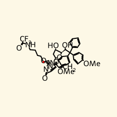 C=CC(=O)[N+]1(CCCCCCNC(=O)C(F)(F)F)c2cn([C@H]3C[C@H](O)[C@@H](C(O)C(c4ccccc4)(c4ccc(OC)cc4)c4ccc(OC)cc4)O3)c(=O)n1c2=O